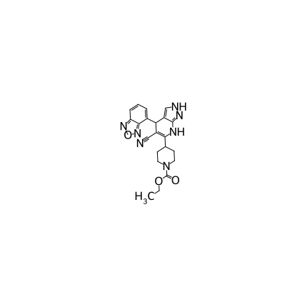 CCOC(=O)N1CCC(C2=C(C#N)C(c3cccc4nonc34)c3c[nH]nc3N2)CC1